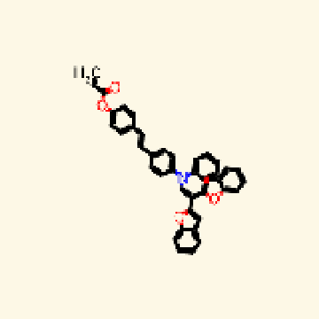 C=CC(=O)Oc1ccc(C=Cc2ccc(N(C=C(c3cc4ccccc4o3)c3cc4ccccc4o3)c3ccccc3)cc2)cc1